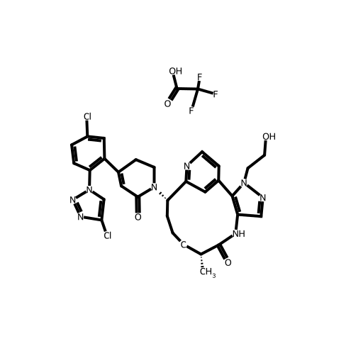 C[C@@H]1CCC[C@H](N2CCC(c3cc(Cl)ccc3-n3cc(Cl)nn3)=CC2=O)c2cc(ccn2)-c2c(cnn2CCO)NC1=O.O=C(O)C(F)(F)F